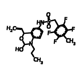 C=CC1OC(O)N(CCC)c2ccc(NS(=O)(=O)Cc3c(F)c(F)c(C)c(F)c3F)cc21